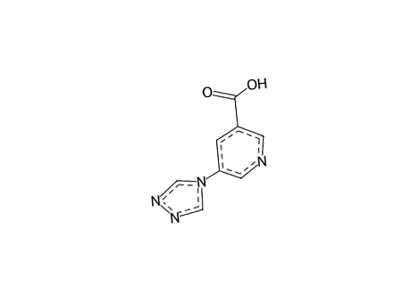 O=C(O)c1cncc(-n2cnnc2)c1